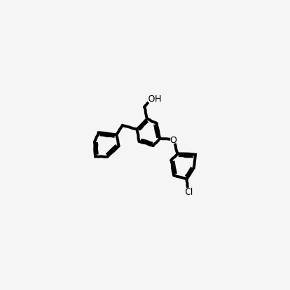 OCc1cc(Oc2ccc(Cl)cc2)ccc1Cc1ccccc1